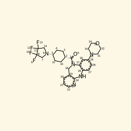 O=C([C@H]1CC[C@@H](N2CC(F)(F)C(F)(F)C2)CC1)N1Cc2cccnc2Nc2ccc(N3CCOCC3)cc21